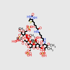 COC1C(OC)[C@H](O[C@H]2O[C@@H](COS(=O)(=O)O)[C@@H](O[C@@H]3OC(C(=O)O)[C@@H](O[C@@H]4OC(COS(=O)(=O)O)[C@@H](C)[C@H](OC)C4NC(=O)CCCCCNC(=O)CCCCC4SCC5NC(=O)NC54)[C@H](OC)C3OC)C(OSOOO)C2OSOOO)[C@H](C(=O)O)O[C@@H]1O[C@@H]1C(COS(=O)(=O)O)O[C@H](OC)C(OSOOO)[C@H]1OC